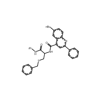 CCCCc1ccc2nc(-c3ccccc3)cc(C(=O)NC(CSCc3ccccc3)C(=O)NC(C)C)c2c1